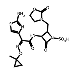 CC1(O/N=C(\C(=O)NC2C(=O)N(S(=O)(=O)O)C2CN2CCOC2=O)c2csc(N)n2)CC1